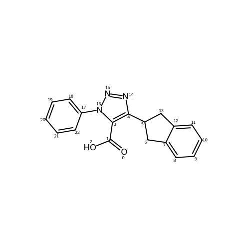 O=C(O)c1c(C2Cc3ccccc3C2)nnn1-c1ccccc1